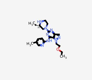 CCOCCn1ncc2nc(N3CCN[C@@H](CC)C3)nc(Nc3ccc(C)cn3)c21